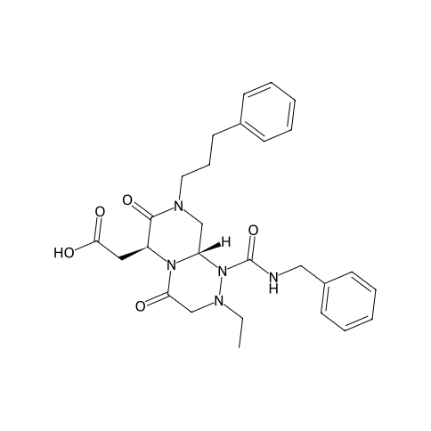 CCN1CC(=O)N2[C@@H](CC(=O)O)C(=O)N(CCCc3ccccc3)C[C@@H]2N1C(=O)NCc1ccccc1